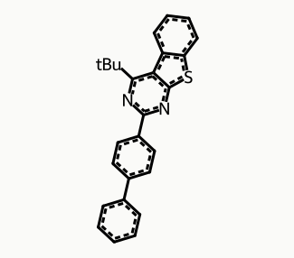 CC(C)(C)c1nc(-c2ccc(-c3ccccc3)cc2)nc2sc3ccccc3c12